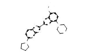 COc1ccc(N2CCOCC2)c2sc(-c3nc4ccc(N5CCCC5)nc4[nH]3)nc12